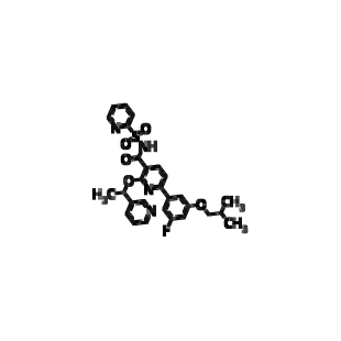 CC(C)COc1cc(F)cc(-c2ccc(C(=O)NS(=O)(=O)c3ccccn3)c(OC(C)c3cccnc3)n2)c1